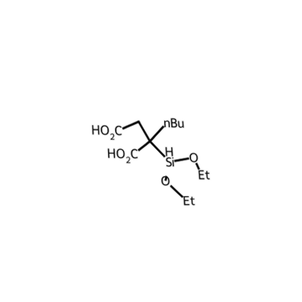 CCCCC(CC(=O)O)(C(=O)O)[SiH](OCC)OCC